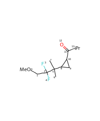 COCC(F)(F)C(C)(C)C1CC1C(=O)C(C)C